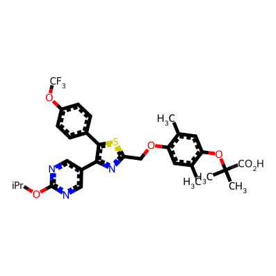 Cc1cc(OC(C)(C)C(=O)O)c(C)cc1OCc1nc(-c2cnc(OC(C)C)nc2)c(-c2ccc(OC(F)(F)F)cc2)s1